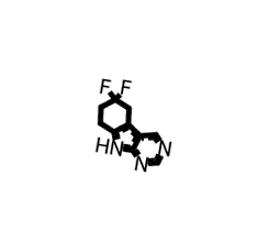 FC1(F)CCc2[nH]c3ncncc3c2C1